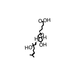 CC(C)=CCCC(C)(O)/C=C/[C@@H]1[C@H]2C[C@@H](CCCCC(=O)O)O[C@H]2C[C@H]1O